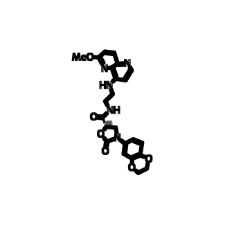 COc1ccc2nccc(NCCNC(=O)[C@@H]3CN(c4ccc5c(c4)OCCO5)C(=O)O3)c2n1